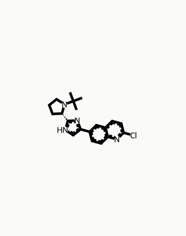 CC(C)(C)N1CCC[C@H]1c1nc(-c2ccc3nc(Cl)ccc3c2)c[nH]1